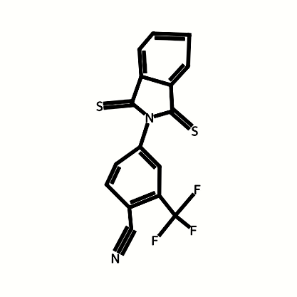 N#Cc1ccc(N2C(=S)c3ccccc3C2=S)cc1C(F)(F)F